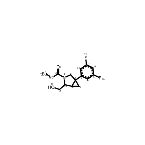 CC(C)(C)OC(=O)N1CC2(c3cc(F)cc(F)c3)CC2C1CO